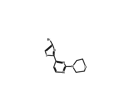 Brc1csc(-c2ccnc(N3CCOCC3)n2)n1